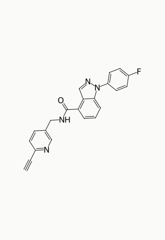 C#Cc1ccc(CNC(=O)c2cccc3c2cnn3-c2ccc(F)cc2)cn1